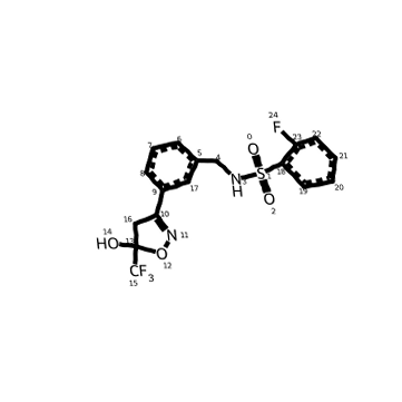 O=S(=O)(NCc1cccc(C2=NOC(O)(C(F)(F)F)C2)c1)c1ccccc1F